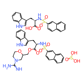 N=C(N)N1CCOC(COC(=O)[C@@H](Cc2c[nH]c3ccccc23)NS(=O)(=O)c2ccc3ccccc3c2)C1.O=C(O)[C@@H](Cc1c[nH]c2ccccc12)NS(=O)(=O)c1ccc2ccccc2c1.O=S(O)O